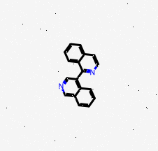 [c]1cccc2cncc(-c3nccc4ccccc34)c12